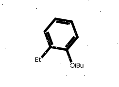 CCc1ccccc1OCC(C)C